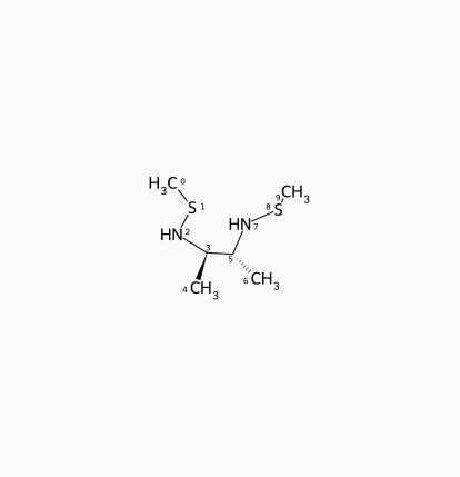 CSN[C@H](C)[C@@H](C)NSC